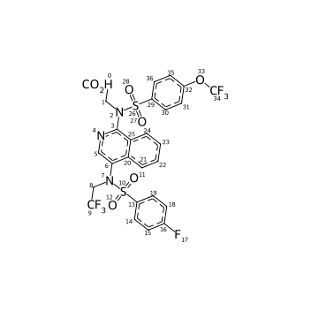 O=C(O)CN(c1ncc(N(CC(F)(F)F)S(=O)(=O)c2ccc(F)cc2)c2ccccc12)S(=O)(=O)c1ccc(OC(F)(F)F)cc1